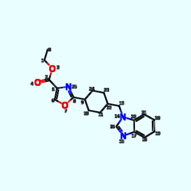 CCOC(=O)c1coc(C2CCC(Cn3cnc4ccccc43)CC2)n1